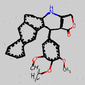 COc1cc(C2C3=C(COC3=O)Nc3ccc4cc5ccccc5cc4c32)cc(OC)c1OC